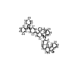 CC1c2c(n(-c3ccc4c(ccc5ccc6sc7ccccc7c6c54)c3)c3ccccc23)C=CC1c1ccc(N(c2ccccc2)C2C=CCCC2)cc1